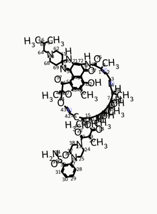 C/C1=C/C=C/[C@H](C)[C@H](O)[C@@H](C)[C@@H](O)[C@@H](C)[C@H](OC(=O)C(C)C(=O)N2CCN(c3ccccc3S(N)(=O)=O)CC2)[C@H](C)C/C=C/O[C@@]2(C)Oc3c(C)c(O)c4c(c3C2=O)C2=NC3(CCN(CC(C)C)CC3)NC2=C(NC1=O)C4=O